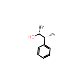 CC(C)[C@@H](O)[C@@H](c1ccccc1)C(C)C